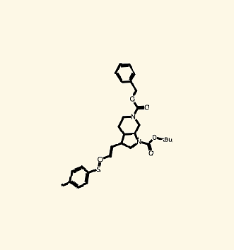 Cc1ccc(SOCCC2CN(C(=O)OC(C)(C)C)C3CN(C(=O)OCc4ccccc4)CCC23)cc1